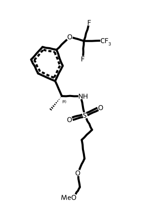 COCOCCCS(=O)(=O)N[C@H](C)c1cccc(OC(F)(F)C(F)(F)F)c1